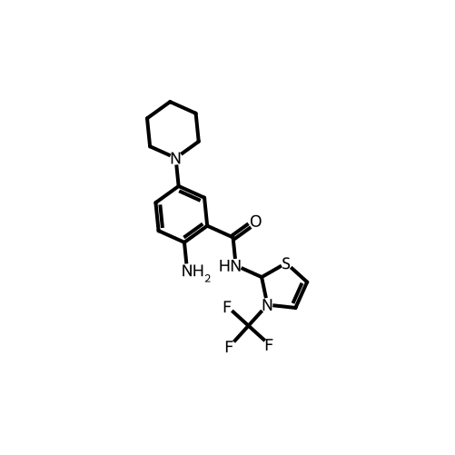 Nc1ccc(N2CCCCC2)cc1C(=O)NC1SC=CN1C(F)(F)F